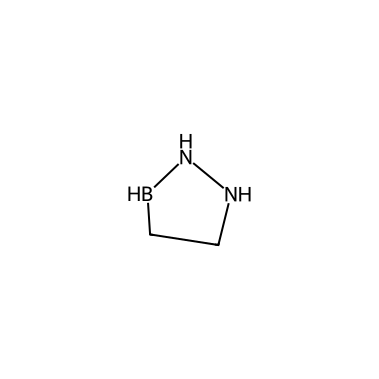 B1CCNN1